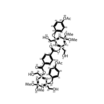 COP1(OC)=NP(CO)(OC(=O)c2ccc(C(=O)OP3(CO)=NP(CO)(Oc4ccc(OC(C)=O)cc4)=NP(OC)(OC)=N3)cc2)=NP(CO)(Oc2ccc(OC(C)=O)cc2)=N1